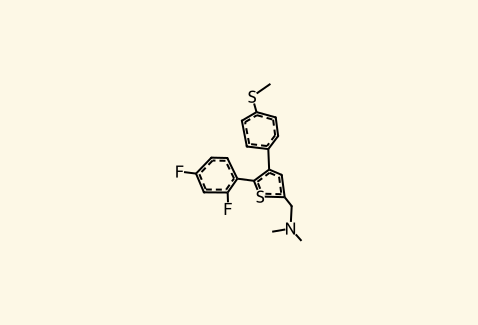 CSc1ccc(-c2cc(CN(C)C)sc2-c2ccc(F)cc2F)cc1